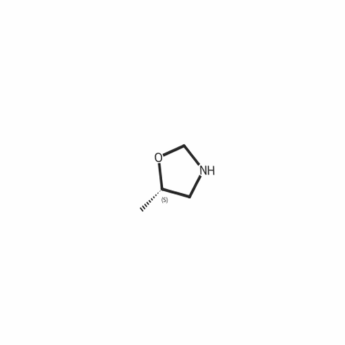 C[C@H]1CNCO1